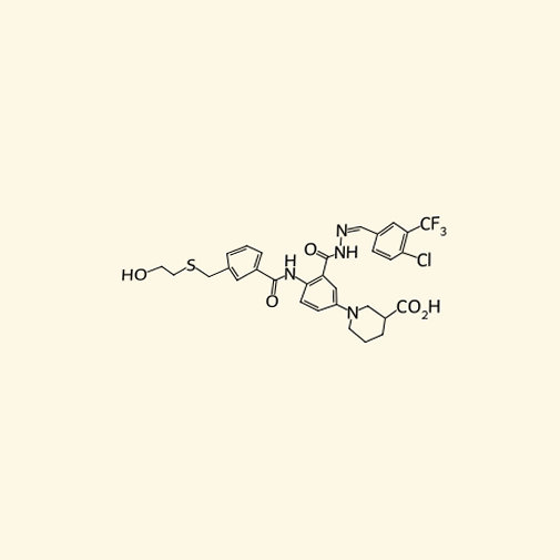 O=C(Nc1ccc(N2CCCC(C(=O)O)C2)cc1C(=O)N/N=C\c1ccc(Cl)c(C(F)(F)F)c1)c1cccc(CSCCO)c1